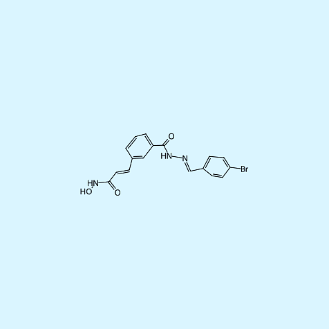 O=C(/C=C/c1cccc(C(=O)N/N=C/c2ccc(Br)cc2)c1)NO